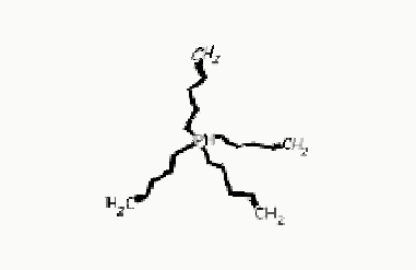 C=CCCC[PH](CCCC=C)(CCCC=C)CCCC=C